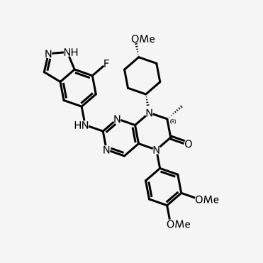 COc1ccc(N2C(=O)[C@@H](C)N([C@H]3CC[C@@H](OC)CC3)c3nc(Nc4cc(F)c5[nH]ncc5c4)ncc32)cc1OC